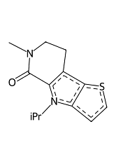 CC(C)n1c2c(c3sccc31)CCN(C)C2=O